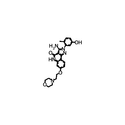 Cc1ccc(O)cc1-n1nc2c(c1N)c(=O)[nH]c1cc(OCCN3CCOCC3)ccc12